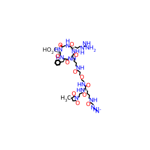 CC1CC(=O)N(CCC(=O)N[C@@H](CCCCNC(=O)CN=[N+]=[N-])C(=O)NCCOCCC(=O)NCCCC[C@@H]2NC(=O)[C@@H](Cc3ccccc3)NC(=O)[C@H](CC(=O)O)NC(=O)CNC(=O)[C@H](CCCNC(=N)N)NC2=O)C1=O